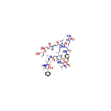 CCC(CO)OC(COC(=O)NCCC(=O)N[C@@H](C(=O)N[C@H](CCCNC(N)=O)C(=O)Nc1ccc(COC(=O)N(C)[C@H](C(=O)N[C@H](C(=O)N(C)[C@H]([C@H](C)CC(=O)N2CCC[C@H]2[C@H](C)[C@@H](C)C(=O)N[C@H](C)[C@@H](O)c2ccccc2)[C@@H](C)CC)C(C)C)C(C)C)cc1)C(C)C)OC